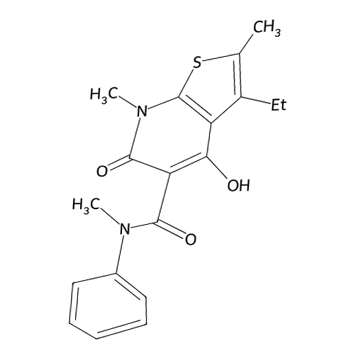 CCc1c(C)sc2c1c(O)c(C(=O)N(C)c1ccccc1)c(=O)n2C